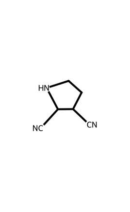 N#CC1CCNC1C#N